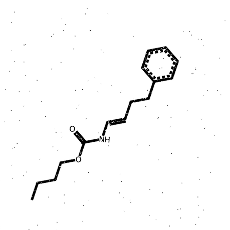 CCCCOC(=O)NC=CCCc1ccccc1